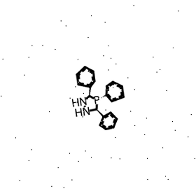 c1ccc([C@H]2NN[C@@H](c3ccccc3)[P@]2c2ccccc2)cc1